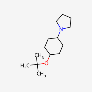 CC(C)(C)OC1CCC(N2CCCC2)CC1